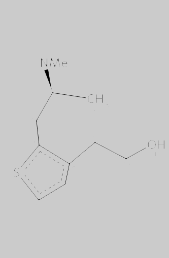 CN[C@@H](C)Cc1sccc1CCO